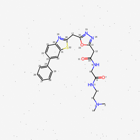 CN(C)CCNC(=O)CNC(=O)Cc1nnc(Cc2nc3ccc(-c4ccccc4)cc3s2)o1